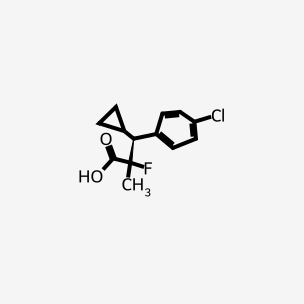 CC(F)(C(=O)O)[C@H](c1ccc(Cl)cc1)C1CC1